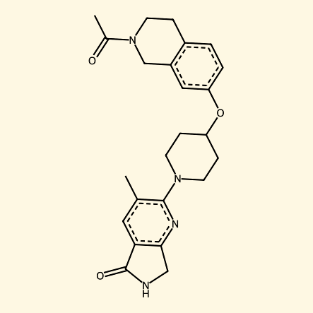 CC(=O)N1CCc2ccc(OC3CCN(c4nc5c(cc4C)C(=O)NC5)CC3)cc2C1